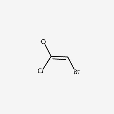 [O]C(Cl)=CBr